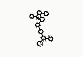 c1ccc(-c2nc3c(-c4cccc(-c5ccc(-c6cc(-c7ccccn7)nc(-c7ccccn7)c6)cc5)c4)cccc3c3c(-c4ccccc4)cccc23)cc1